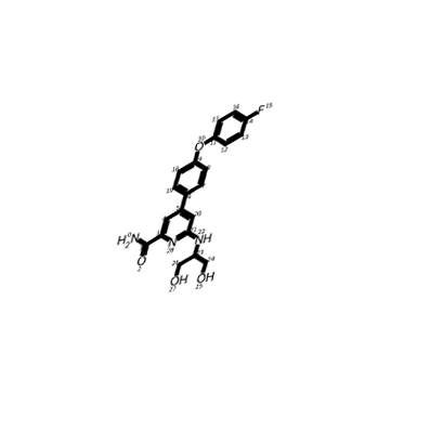 NC(=O)c1cc(-c2ccc(Oc3ccc(F)cc3)cc2)cc(NC(CO)CO)n1